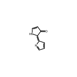 O=C1C=CNC1=C1C=CC=N1